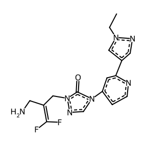 CCn1cc(-c2cc(-n3cnn(CC(CN)=C(F)F)c3=O)ccn2)cn1